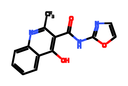 O=C(Nc1ncco1)c1c(C(F)(F)F)nc2ccccc2c1O